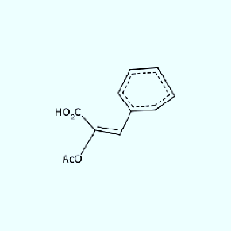 CC(=O)OC(=Cc1ccccc1)C(=O)O